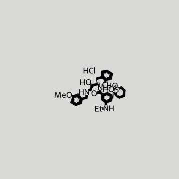 CCNc1cc(C(=O)N[C@@H](Cc2ccccc2Cl)[C@H](O)CNCc2cccc(OC)c2)cc(N2CCCCS2(O)O)c1.Cl